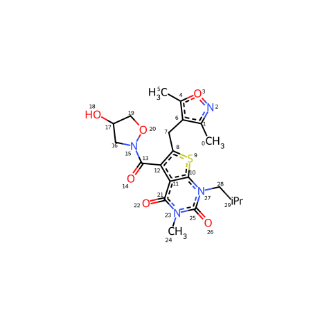 Cc1noc(C)c1Cc1sc2c(c1C(=O)N1CC(O)CO1)c(=O)n(C)c(=O)n2CC(C)C